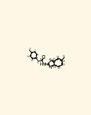 Cc1ccc(CC(=O)Nc2nc3ccc(C)cc3s2)cc1